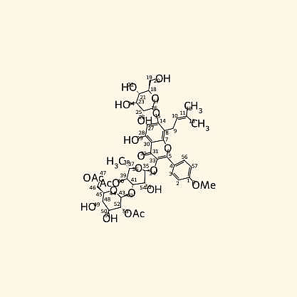 COc1ccc(-c2oc3c(CC=C(C)C)c(O[C@@H]4O[C@H](CO)[C@@H](O)[C@H](O)[C@H]4O)cc(O)c3c(=O)c2O[C@@H]2O[C@@H](C)[C@H](OC(C)=O)[C@@H](O[C@@H]3O[C@H](COC(C)=O)[C@@H](O)[C@H](O)[C@H]3OC(C)=O)[C@H]2O)cc1